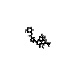 Cc1cc(-c2nnc(NCC3CCOCN3)o2)nc2c(C(F)(F)F)cc(C3CC3)cc12